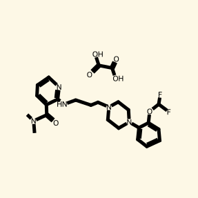 CN(C)C(=O)c1cccnc1NCCCN1CCN(c2ccccc2OC(F)F)CC1.O=C(O)C(=O)O